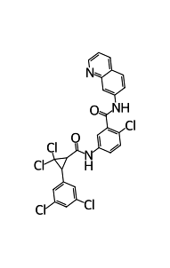 O=C(Nc1ccc2cccnc2c1)c1cc(NC(=O)C2C(c3cc(Cl)cc(Cl)c3)C2(Cl)Cl)ccc1Cl